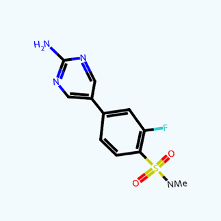 CNS(=O)(=O)c1ccc(-c2cnc(N)nc2)cc1F